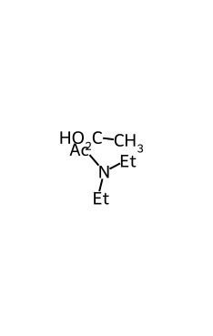 CC(=O)O.CCN(CC)C(C)=O